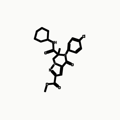 COC(=O)c1cc2n(n1)CC(C)(C(=O)NC1CCCCC1)N(c1ccc(Cl)cc1)C2=O